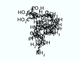 CC(C)C[C@H](NC(=O)[C@H](CCCCN)NC(=O)[C@H](CO)NC(=O)[C@@H](N)CCCCN)C(=O)NCC(=O)N[C@@H](CC(=O)O)C(=O)N[C@@H](CC(C)C)C(=O)N[C@H](C(=O)N[C@H](C(=O)N[C@H](C(=O)N[C@@H](CO)C(=O)N[C@@H](CC(C)C)C(=O)N[C@@H](C)C(=O)NCC(=O)NCC(=O)N[C@@H](CCC(=O)O)C(=O)N[C@@H](CCC(=O)O)C(=O)O)C(C)C)[C@@H](C)O)C(C)C